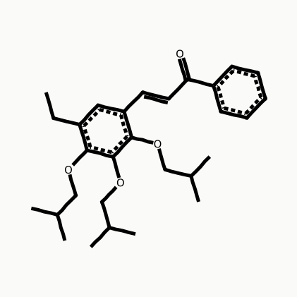 CCc1cc(C=CC(=O)c2ccccc2)c(OCC(C)C)c(OCC(C)C)c1OCC(C)C